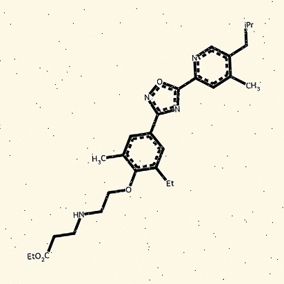 CCOC(=O)CCNCCOc1c(C)cc(-c2noc(-c3cc(C)c(CC(C)C)cn3)n2)cc1CC